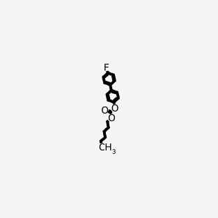 CCCCCCOC(=O)Oc1ccc(-c2ccc(F)cc2)cc1